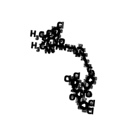 Cc1sc2c(c1C)C(c1ccc(Cl)cc1)=N[C@@H](CC(=O)NCCCN1CCN(CCCCCCOc3ccc(C[C@H](N)C(=O)N4C/C(=C\c5ccc(Cl)c(Cl)c5)C(=O)/C(=C/c5ccc(Cl)c(Cl)c5)C4)cc3)CC1)c1nnc(C)n1-2